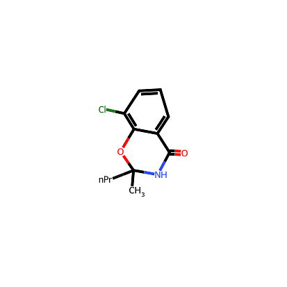 CCCC1(C)NC(=O)c2cccc(Cl)c2O1